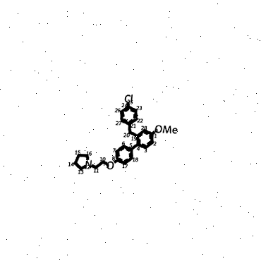 COc1ccc(-c2ccc(OCCN3CCCC3)cc2)c(Cc2ccc(Cl)cc2)c1